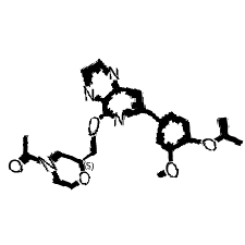 COc1cc(-c2cc3nccnc3c(OC[C@@H]3CN(C(C)=O)CCO3)n2)ccc1OC(C)C